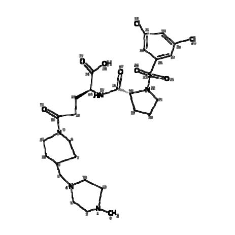 CN1CCN(CC2CCN(C(=O)CC[C@H](NC(=O)[C@H]3CCCN3S(=O)(=O)c3cc(Cl)cc(Cl)c3)C(=O)O)CC2)CC1